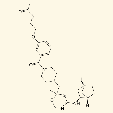 CC(=O)NCCOc1cccc(C(=O)N2CCC(CC3(C)OCN=C(N[C@H]4C[C@@H]5CC[C@H]4C5)S3)CC2)c1